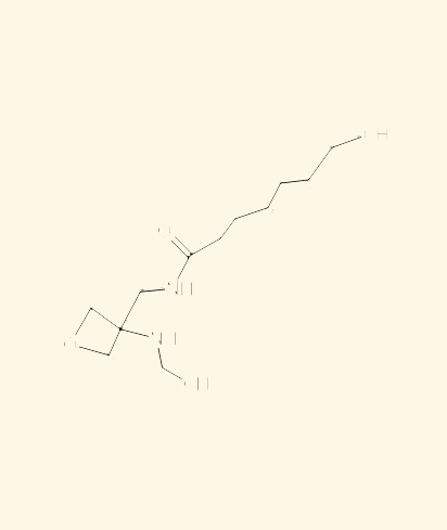 CCCCCCCC(=O)NCC1(NCC)COC1